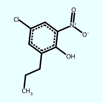 CCCc1cc(Cl)cc([N+](=O)[O-])c1O